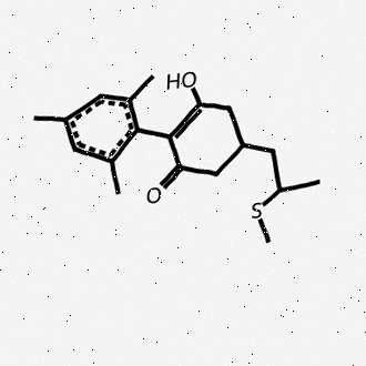 CSC(C)CC1CC(=O)C(c2c(C)cc(C)cc2C)=C(O)C1